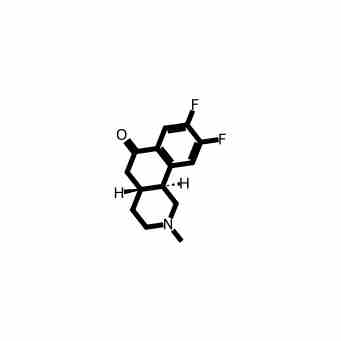 CN1CC[C@@H]2CC(=O)c3cc(F)c(F)cc3[C@H]2C1